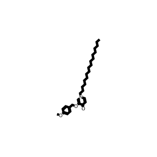 CCCCCCCCCCCCCCCCCCn1ccc(=O)c(OCc2ccc(OC)cc2)c1